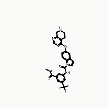 CNC(=O)c1cc(NC(=O)n2ccc3cc(Oc4ncnc5c4CCNC5)ccc32)cc(C(F)(F)F)c1